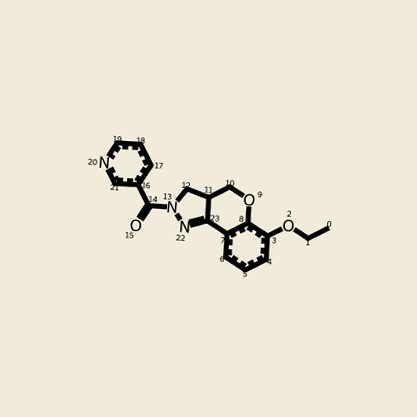 CCOc1cccc2c1OCC1CN(C(=O)c3cccnc3)N=C21